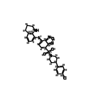 O=S(=O)(c1ccc(Sc2cccc3c2NCCC3)c2nonc12)N1CCC(c2ccc(Cl)cc2)CC1